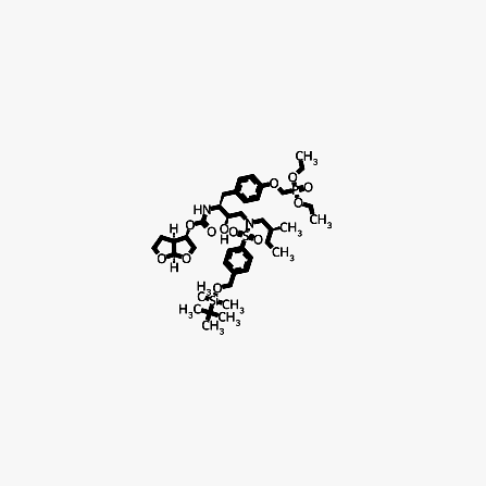 CCOP(=O)(COc1ccc(C[C@H](NC(=O)O[C@H]2CO[C@H]3OCC[C@H]32)[C@H](O)CN(C[C@@H](C)CC)S(=O)(=O)c2ccc(CO[Si](C)(C)C(C)(C)C)cc2)cc1)OCC